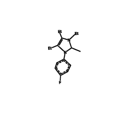 CCC1=C(CC)N(c2ccc(F)cc2)C(C)N1CC